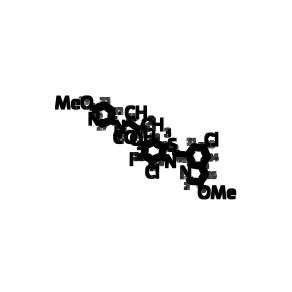 COc1cnc2c(-c3nc4c(Cl)c(F)c(O[C@@H](C)[C@@H](C)N(C(=O)O)c5ccc(OC)nc5)cc4s3)cc(Cl)cc2c1